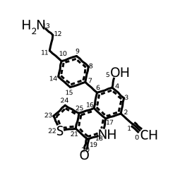 C#Cc1cc(O)c(-c2ccc(CCN)cc2)c2c1[nH]c(=O)c1sccc12